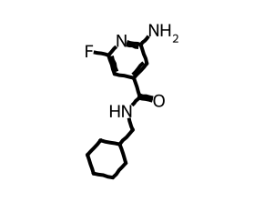 Nc1cc(C(=O)NCC2CCCCC2)cc(F)n1